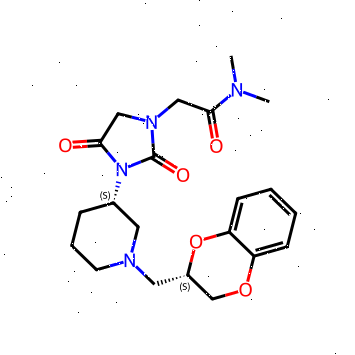 CN(C)C(=O)CN1CC(=O)N([C@H]2CCCN(C[C@H]3COc4ccccc4O3)C2)C1=O